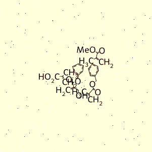 C=C(C)C(=O)O.C=C(C)C(=O)OC.C=C(C)C(=O)OCc1ccccc1.C=C(CO)C(=O)Oc1ccccc1